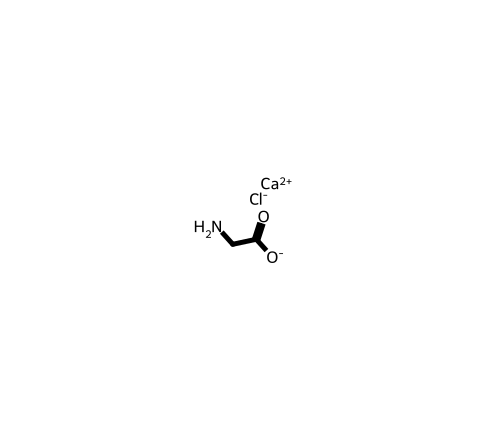 NCC(=O)[O-].[Ca+2].[Cl-]